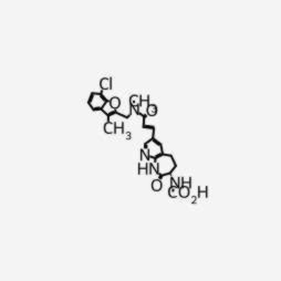 Cc1c(CN(C)C(=O)/C=C/c2cnc3c(c2)CC[C@H](NC(=O)O)C(=O)N3)oc2c(Cl)cccc12